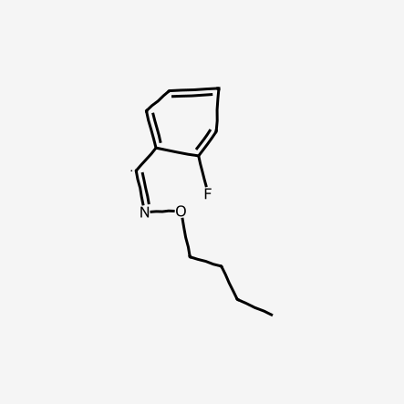 CCCCO/N=[C]\c1ccccc1F